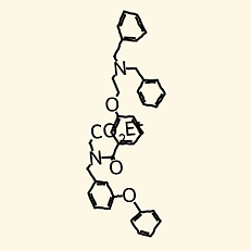 CCOC(=O)CN(Cc1cccc(Oc2ccccc2)c1)C(=O)c1cccc(OCCN(Cc2ccccc2)Cc2ccccc2)c1